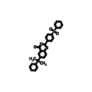 CC(C)(c1ccccc1)c1ccc2nc(-c3ccc(S(=O)(=O)c4ccccc4)cc3)oc(=O)c2c1